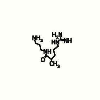 CC(CCCNC(=N)N)C(=O)NCCCN